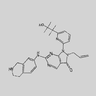 C=CCn1c(=O)c2cnc(Nc3ccc4c(c3)CNCC4)nc2n1-c1cccc(C(C)(C)C(C)(C)O)n1